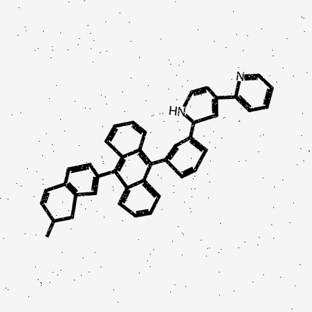 CC1C=Cc2ccc(-c3c4ccccc4c(-c4cccc(C5C=C(c6ccccn6)C=CN5)c4)c4ccccc34)cc2C1